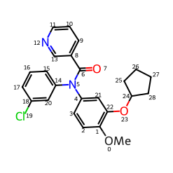 COc1ccc(N(C(=O)c2cccnc2)c2cccc(Cl)c2)cc1OC1CCCC1